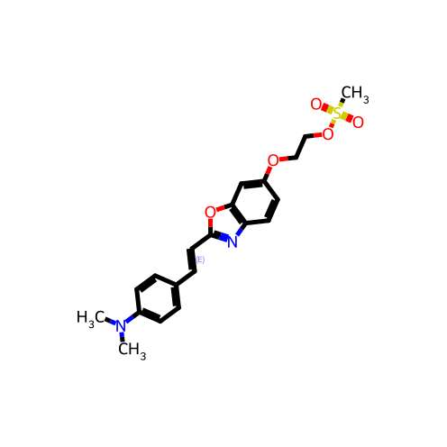 CN(C)c1ccc(/C=C/c2nc3ccc(OCCOS(C)(=O)=O)cc3o2)cc1